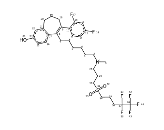 CN(CCCCCCC1=C(c2ccc(F)cc2F)CCCc2cc(O)ccc21)CCCS(=O)(=O)CCCC(F)(F)C(F)(F)F